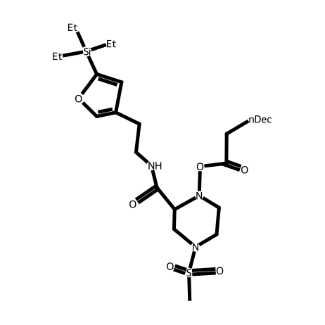 CCCCCCCCCCCC(=O)ON1CCN(S(C)(=O)=O)CC1C(=O)NCCc1coc([Si](CC)(CC)CC)c1